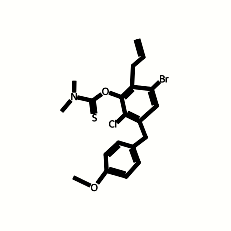 C=CCc1c(Br)cc(Cc2ccc(OC)cc2)c(Cl)c1OC(=S)N(C)C